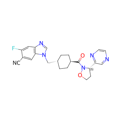 N#Cc1cc2c(cc1F)ncn2C[C@H]1CC[C@H](C(=O)N2OCC[C@H]2c2cnccn2)CC1